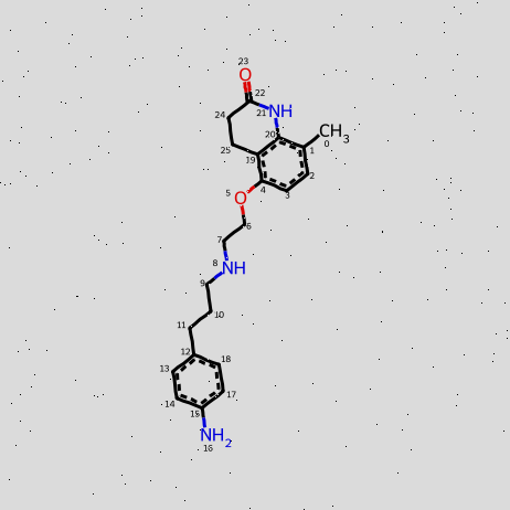 Cc1ccc(OCCNCCCc2ccc(N)cc2)c2c1NC(=O)CC2